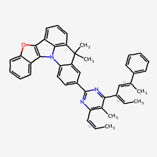 C/C=C\c1nc(-c2ccc3c(c2)C(C)(C)c2cccc4c5oc6ccccc6c5n-3c24)nc(C(/C=C(\C)c2ccccc2)=C/C)c1C